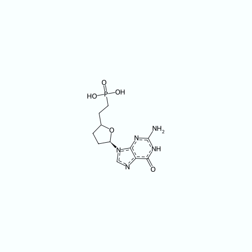 Nc1nc2c(ncn2[C@H]2CCC(CCP(=O)(O)O)O2)c(=O)[nH]1